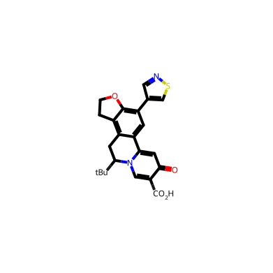 CC(C)(C)C1Cc2c(cc(-c3cnsc3)c3c2CCO3)-c2cc(=O)c(C(=O)O)cn21